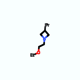 CCOCCN1CC(C(C)C)C1